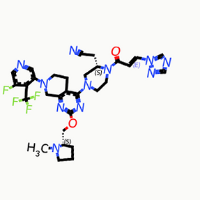 CN1CCC[C@H]1COc1nc2c(c(N3CCN(C(=O)/C=C/n4cncn4)[C@@H](CC#N)C3)n1)CCN(c1cncc(F)c1C(F)(F)F)C2